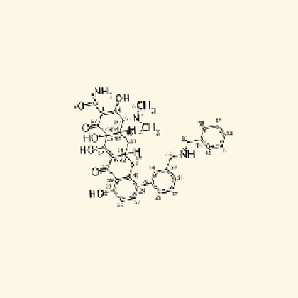 CN(C)[C@H]1C(O)=C(C(N)=O)C(=O)[C@@]2(O)C(O)=C3C(=O)c4c(O)ccc(-c5cccc(CNCc6ccccc6)c5)c4C[C@H]3C[C@@H]12